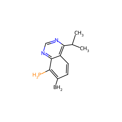 Bc1ccc2c(C(C)C)ncnc2c1P